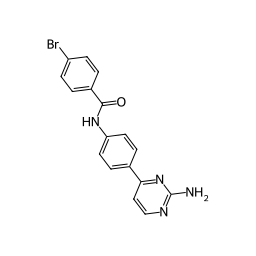 Nc1nccc(-c2ccc(NC(=O)c3ccc(Br)cc3)cc2)n1